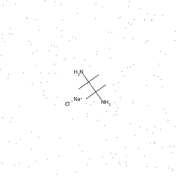 CC(C)(N)C(C)(C)N.[Cl-].[Na+]